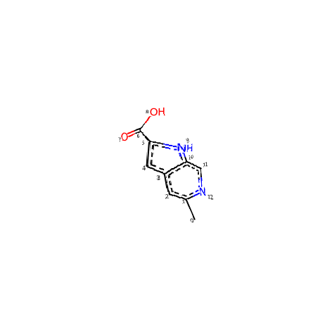 Cc1cc2cc(C(=O)O)[nH]c2cn1